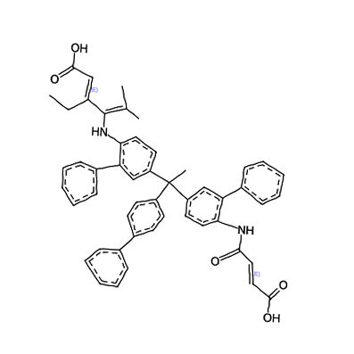 CC/C(=C\C(=O)O)C(Nc1ccc(C(C)(c2ccc(-c3ccccc3)cc2)c2ccc(NC(=O)/C=C/C(=O)O)c(-c3ccccc3)c2)cc1-c1ccccc1)=C(C)C